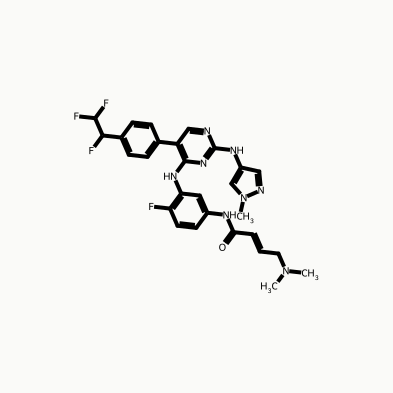 CN(C)C/C=C/C(=O)Nc1ccc(F)c(Nc2nc(Nc3cnn(C)c3)ncc2-c2ccc(C(F)C(F)F)cc2)c1